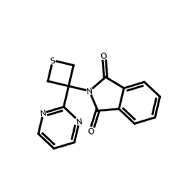 O=C1c2ccccc2C(=O)N1C1(c2ncccn2)CSC1